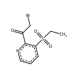 CCS(=O)(=O)c1cccnc1C(=O)CBr